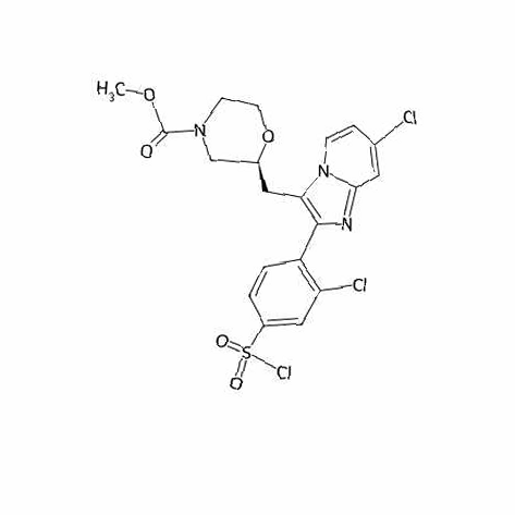 COC(=O)N1CCO[C@@H](Cc2c(-c3ccc(S(=O)(=O)Cl)cc3Cl)nc3cc(Cl)ccn23)C1